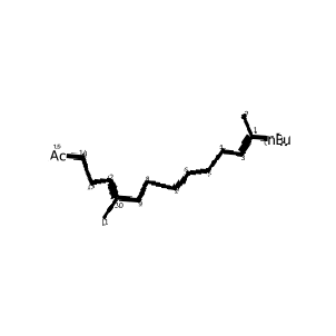 CCCCC(C)=CCCCCCCC(C)=CCCC(C)=O